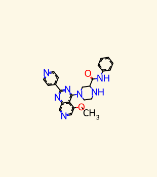 COc1cncc2nc(-c3ccncc3)nc(N3CCNC(C(=O)Nc4ccccc4)C3)c12